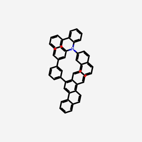 c1ccc(-c2ccccc2N(c2cccc(-c3cccc(-c4cc5c6ccccc6ccc5c5ccccc45)c3)c2)c2ccc3ccccc3c2)cc1